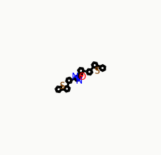 c1cc(-c2cnc3oc4c(-c5cccc(-c6cccc7c6sc6ccccc67)c5)cccc4c3n2)cc(-c2cccc3c2sc2ccccc23)c1